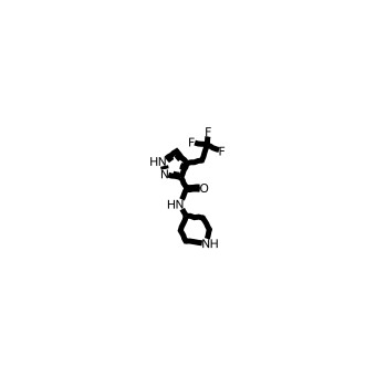 O=C(NC1CCNCC1)c1n[nH]cc1CC(F)(F)F